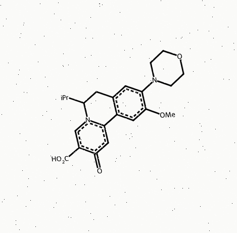 COc1cc2c(cc1N1CCOCC1)CC(C(C)C)n1cc(C(=O)O)c(=O)cc1-2